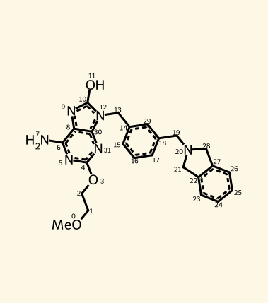 COCCOc1nc(N)c2nc(O)n(Cc3cccc(CN4Cc5ccccc5C4)c3)c2n1